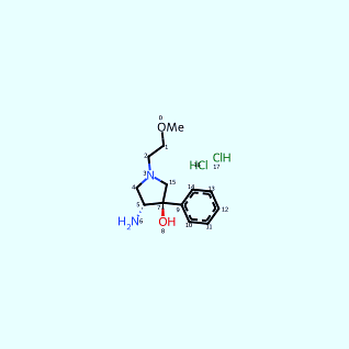 COCCN1C[C@@H](N)[C@@](O)(c2ccccc2)C1.Cl.Cl